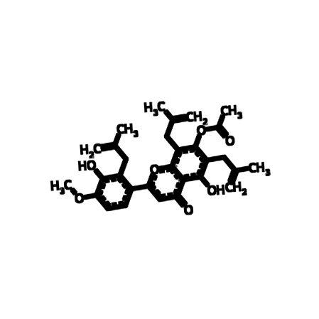 C=C(C)Cc1c(-c2cc(=O)c3c(O)c(CC(=C)C)c(OC(C)=O)c(CC(=C)C)c3o2)ccc(OC)c1O